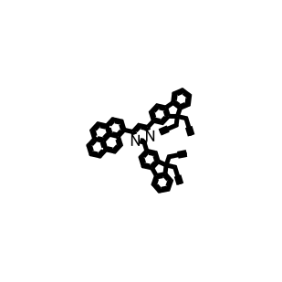 C#CCC1(CC#C)c2ccccc2-c2ccc(-c3cc(-c4ccc5ccc6cccc7ccc4c5c67)nc(-c4ccc5c(c4)C(CC#C)(CC#C)c4ccccc4-5)n3)cc21